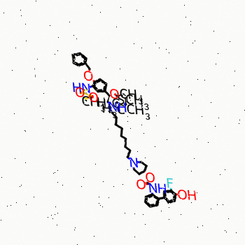 CC(C)(C)[Si](C)(C)O[C@@H](CNCCCCCCCCCN1CCC(OC(=O)Nc2ccccc2-c2ccc(O)c(F)c2)CC1)c1ccc(OCc2ccccc2)c(NS(C)(=O)=O)c1